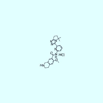 COc1cc2c(cc1C(=O)Nc1cccc(-c3nnc4n3C(C)(C)CC4)n1)CNCC2.Cl